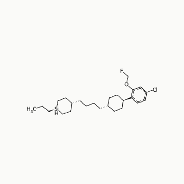 CCC[Si@H]1CC[C@H](CCCC[C@H]2CC[C@H](c3ccc(Cl)cc3OCF)CC2)CC1